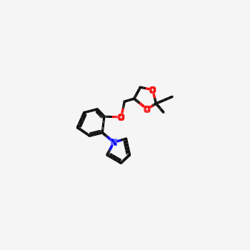 CC1(C)OCC(COc2ccccc2-n2cccc2)O1